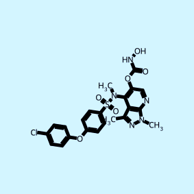 Cc1nn(C)c2ncc(OC(=O)NO)c(N(C)S(=O)(=O)c3ccc(Oc4ccc(Cl)cc4)cc3)c12